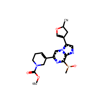 C[S+]([O-])c1nc(C2=CCCN(C(=O)OC(C)(C)C)C2)cn2c(C3=COC(C#N)C3)cnc12